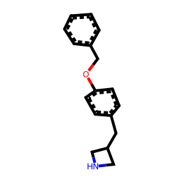 c1ccc(COc2ccc(CC3CNC3)cc2)cc1